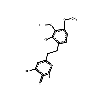 COc1ccc(CCc2cc(O)c(=O)[nH]n2)c(Cl)c1OC